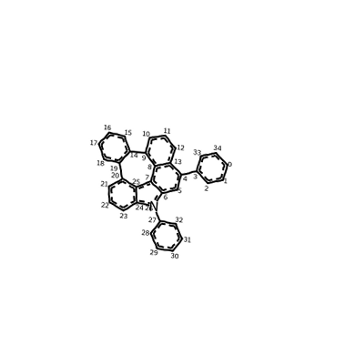 c1ccc(-c2cc3c4c5c(cccc25)-c2ccccc2-c2cccc(c24)n3-c2ccccc2)cc1